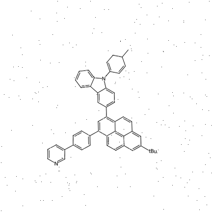 CC1C=CC(n2c3ccccc3c3cc(-c4cc(-c5ccc(-c6cccnc6)cc5)c5ccc6cc(C(C)(C)C)cc7ccc4c5c67)ccc32)=CC1